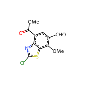 COC(=O)c1cc(C=O)c(OC)c2sc(Cl)nc12